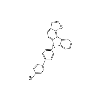 Brc1ccc(-c2ccc(-n3c4ccccc4c4c5sccc5ccc43)cc2)cc1